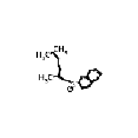 CC(C)=CCCC(C)=CC[S+]([O-])c1ccc2ccccc2c1